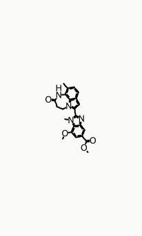 COC(=O)c1cc(OC)c2c(c1)nc(-c1cc3ccc(C)c4c3n1CCC(=O)N4)n2C